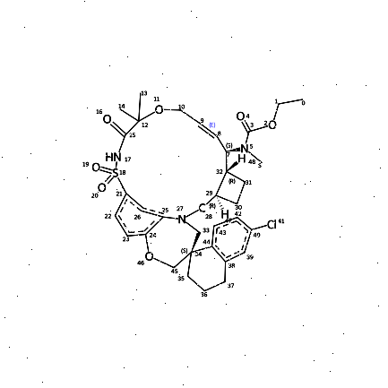 CCOC(=O)N(C)[C@@H]1/C=C/COC(C)(C)C(=O)NS(=O)(=O)c2ccc3c(c2)N(C[C@@H]2CC[C@H]21)C[C@@]1(CCCc2cc(Cl)ccc21)CO3